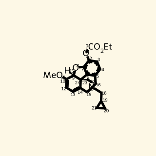 CCOC(=O)Oc1ccc2c3c1O[C@H]1C(OC)=CC=C4C(C2)N(CC2CC2)CC[C@]431